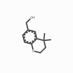 CC1(C)CCOc2ccc(CO)cc21